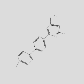 CSc1cc(N)nc(-c2ccc(-c3ccc(Br)cc3)cc2)c1